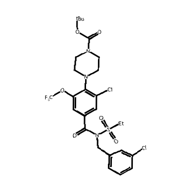 CCS(=O)(=O)N(Cc1cccc(Cl)c1)C(=O)c1cc(Cl)c(N2CCN(C(=O)OC(C)(C)C)CC2)c(OC(F)(F)F)c1